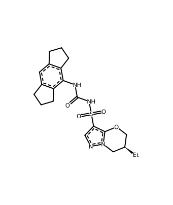 CC[C@@H]1COc2c(S(=O)(=O)NC(=O)Nc3c4c(cc5c3CCC5)CCC4)cnn2C1